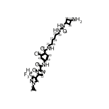 Cn1c(-c2cn(C3CC3)nc2C(F)(F)F)cnc1C(=O)Nc1ccc(C(=O)NCCCCCCNC(=O)NC2CC(N)C2)c(Cl)c1